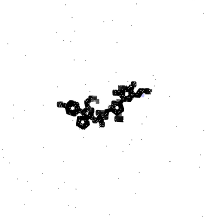 CCON(c1ccc(Cl)cc1)C1(C(=O)OP(=O)(O)OC[C@H]2O[C@@H](n3cc(/C=C/Br)c(=O)[nH]c3=O)C[C@@H]2O)CCCC1